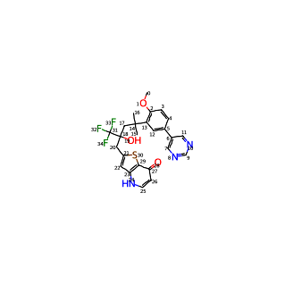 COc1ccc(-c2cncnc2)cc1C(C)(C)CC(O)(Cc1cc2[nH]ccc(=O)c2s1)C(F)(F)F